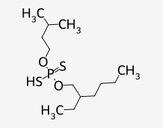 CCCCC(CC)COP(=S)(S)OCCC(C)C